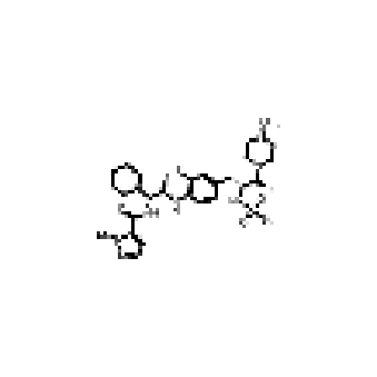 CCn1nccc1C(=O)N[C@H](C(=O)Nc1ccc(C[C@@H](NS(=O)(=O)CC)C(=O)N2CCN(C)CC2)cc1F)C1CCCCC1